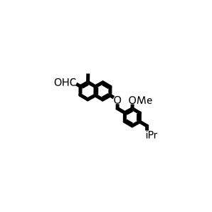 COc1cc(CC(C)C)ccc1COc1ccc2c(c1)CCC(C=O)=C2C